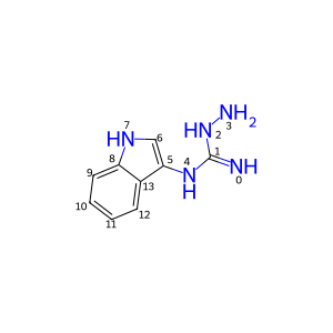 N=C(NN)Nc1c[nH]c2ccccc12